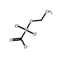 CCO[N+](Cl)(Cl)C(=O)[O-]